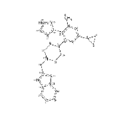 Cc1cc(C2CC2)cc(N2CCN(Cc3nc4ccccc4s3)CC2)c1-c1nn[nH]n1